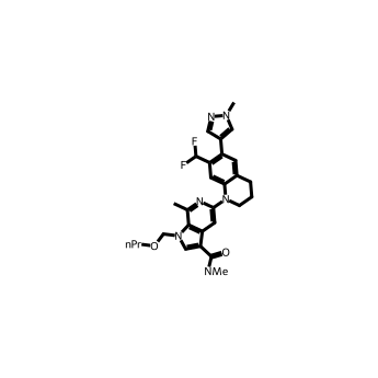 CCCOCn1cc(C(=O)NC)c2cc(N3CCCc4cc(-c5cnn(C)c5)c(C(F)F)cc43)nc(C)c21